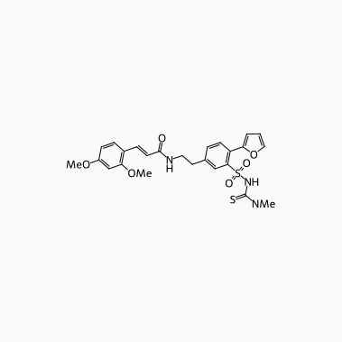 CNC(=S)NS(=O)(=O)c1cc(CCNC(=O)C=Cc2ccc(OC)cc2OC)ccc1-c1ccco1